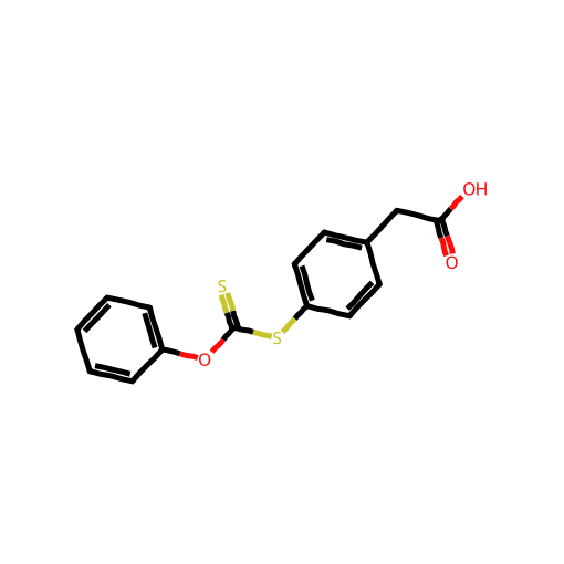 O=C(O)Cc1ccc(SC(=S)Oc2ccccc2)cc1